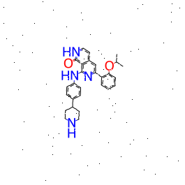 CC(C)Oc1ccccc1-c1cc2cc[nH]c(=O)c2c(Nc2ccc(C3CCNCC3)cc2)n1